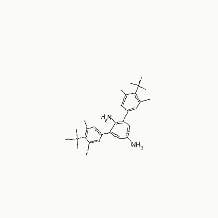 Cc1cc(-c2cc(N)cc(-c3cc(C)c(C(C)(C)C)c(C)c3)c2N)cc(C)c1C(C)(C)C